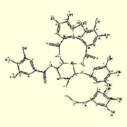 Cc1c(O)cc(C(=O)OC2OC3CCOOc4cc(O)c(O)c(O)c4-c4c(cc(O)c(O)c4O)CC3C3OC(=O)c4cc(O)c(O)c(O)c4-c4c(cc(O)c(O)c4O)C(=O)OC23)cc1O